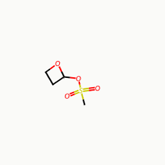 CS(=O)(=O)O[C]1CCO1